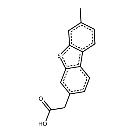 Cc1ccc2c(c1)sc1cc(CC(=O)O)ccc12